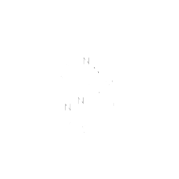 CC(=S)N(C)/N=C(\C)C1(/C(C)=N/N(C)C(C)=S)OCCO1